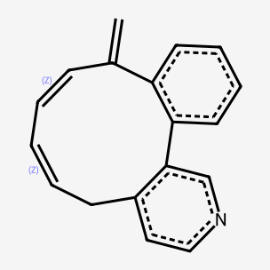 C=C1/C=C\C=C/Cc2ccncc2-c2ccccc21